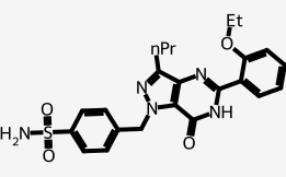 CCCc1nn(Cc2ccc(S(N)(=O)=O)cc2)c2c(=O)[nH]c(-c3ccccc3OCC)nc12